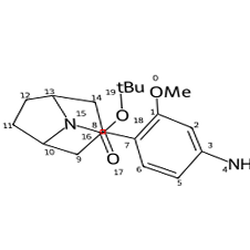 COc1cc(N)ccc1C1CC2CCC(C1)N2C(=O)OC(C)(C)C